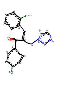 O=C(C(=Cc1ccccc1F)Cn1cncn1)c1ccc(Cl)cc1